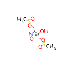 CS(=O)OCC(N=O)[C@@H](O)COS(C)=O